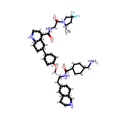 N#C[C@@H]1CC(F)(F)CN1C(=O)CNC(=O)c1ccnc2ccc(-c3ccc(OC[C@@H](Cc4ccc5cnccc5c4)NC(=O)C4CCC(CN)CC4)cc3)cc12